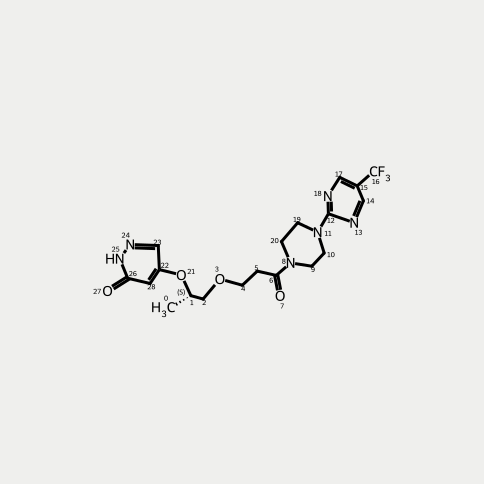 C[C@@H](COCCC(=O)N1CCN(c2ncc(C(F)(F)F)cn2)CC1)Oc1cn[nH]c(=O)c1